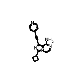 Nc1nccn2c(C3CCC3)nc(C#Cc3ccncc3)c12